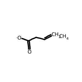 C.C=CCC([O])=O